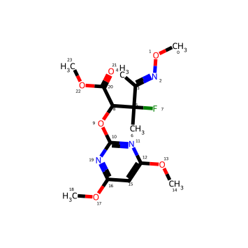 CON=C(C)C(C)(F)C(Oc1nc(OC)cc(OC)n1)C(=O)OC